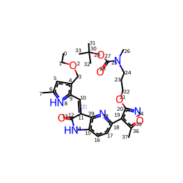 CCOCc1cc(C)[nH]c1/C=C1\C(=O)Nc2ccc(-c3c(OCCCN(C)C(=O)OC(C)(C)C)noc3C)nc21